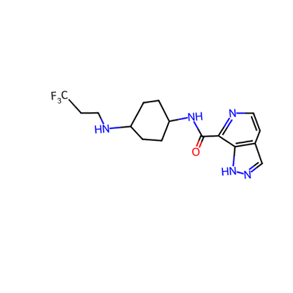 O=C(NC1CCC(NCCC(F)(F)F)CC1)c1nccc2cn[nH]c12